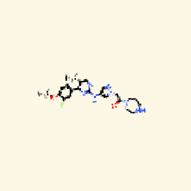 COc1ccc(-c2nc(Nc3cnn(CC(=O)N4CCCNCC4)c3)ncc2C)cc1F